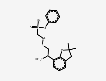 CCP(=S)(CNSCN(C(=O)O)c1cccc2c1OC(C)(C)C2)Oc1ccccc1